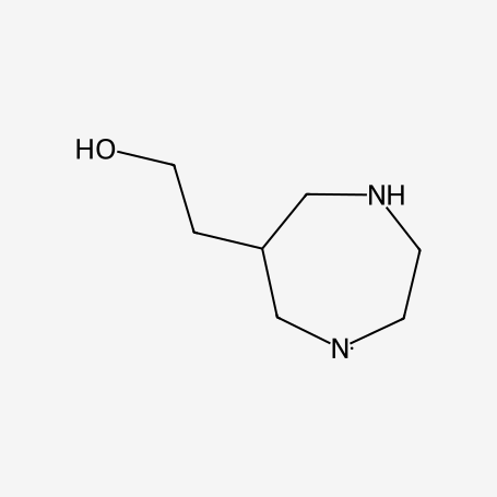 OCCC1C[N]CCNC1